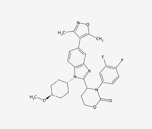 CO[C@H]1CC[C@H](n2c(C3CCOC(=O)N3c3ccc(F)c(F)c3)nc3cc(-c4c(C)noc4C)ccc32)CC1